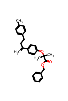 C=C(CCc1ccc(C)cc1)c1ccc(OC(C)(C)C(=O)OCc2ccccc2)cc1